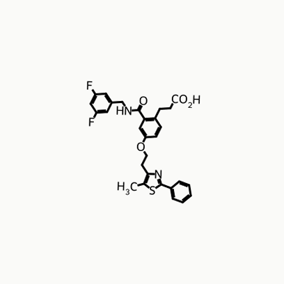 Cc1sc(-c2ccccc2)nc1CCOc1ccc(CCC(=O)O)c(C(=O)NCc2cc(F)cc(F)c2)c1